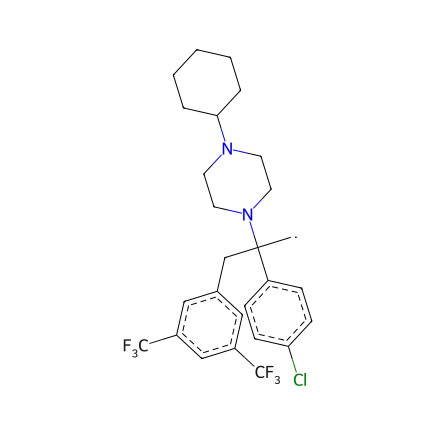 [CH2]C(Cc1cc(C(F)(F)F)cc(C(F)(F)F)c1)(c1ccc(Cl)cc1)N1CCN(C2CCCCC2)CC1